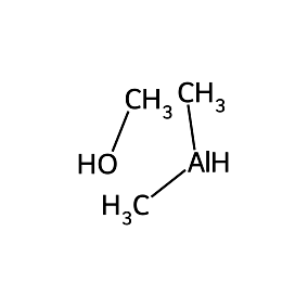 CO.[CH3][AlH][CH3]